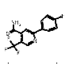 NC(=O)c1cc(-c2ccc(F)cc2)ncc1C(F)(F)F